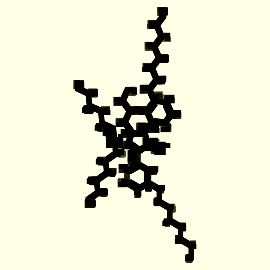 CCCCCCCCc1cccc(C2=CC(CCCC)=C(c3cccc(CCCCCCCC)c3)[N+]2=[N-])c1.CCCCC[CH2][Pd][CH2]CCCCC